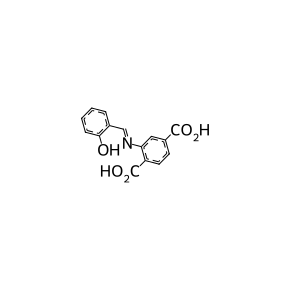 O=C(O)c1ccc(C(=O)O)c(N=Cc2ccccc2O)c1